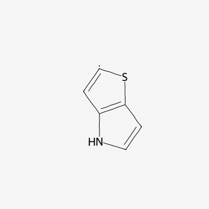 [c]1cc2[nH]ccc2s1